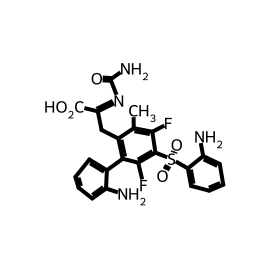 Cc1c(F)c(S(=O)(=O)c2ccccc2N)c(F)c(-c2ccccc2N)c1CC(=NC(N)=O)C(=O)O